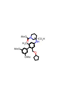 COC(=O)N1CCC[C@](Nc2cc(C)c(-c3cc(OC)cc(OC)c3)c(COC3CCCC3)c2)(C(=O)O)C1